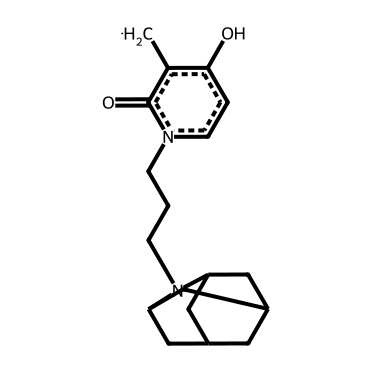 [CH2]c1c(O)ccn(CCCN2C3CC4CC(C3)CC2C4)c1=O